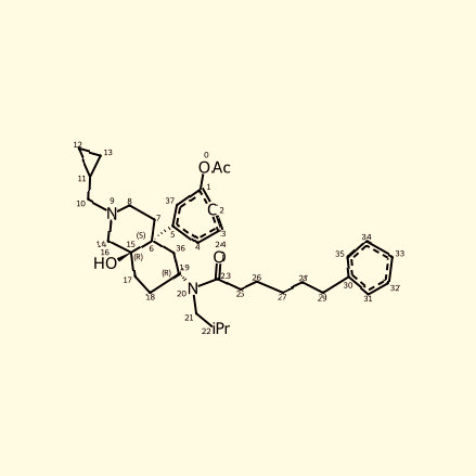 CC(=O)Oc1cccc([C@@]23CCN(CC4CC4)C[C@@]2(O)CC[C@@H](N(CC(C)C)C(=O)CCCCCc2ccccc2)C3)c1